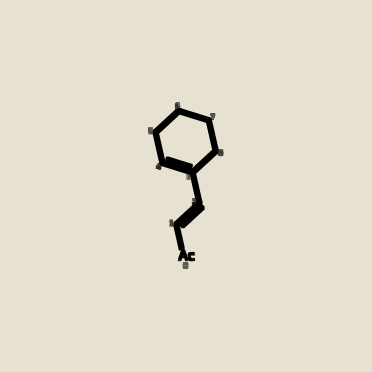 CC(=O)/C=C/C1=CCCCC1